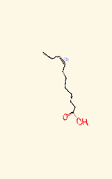 CC/C=C\CCCCCCC(=O)O